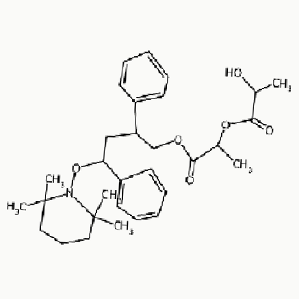 CC(O)C(=O)OC(C)C(=O)OCC(CC(ON1C(C)(C)CCCC1(C)C)c1ccccc1)c1ccccc1